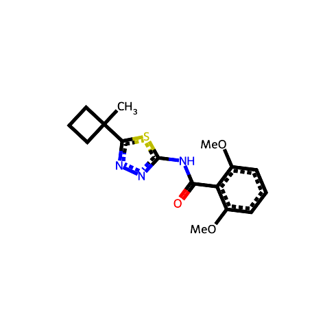 COc1cccc(OC)c1C(=O)Nc1nnc(C2(C)CCC2)s1